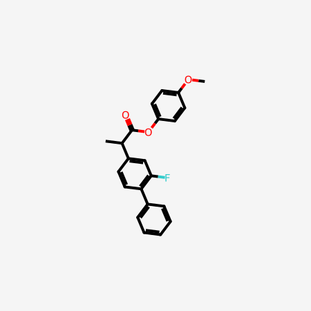 COc1ccc(OC(=O)C(C)c2ccc(-c3ccccc3)c(F)c2)cc1